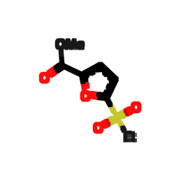 CCS(=O)(=O)c1ccc(C(=O)OC)o1